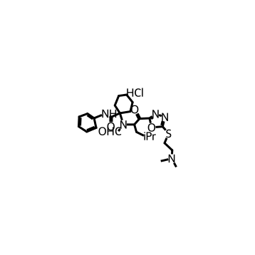 CC(C)CC(C(=O)c1nnc(SCCN(C)C)o1)N(C=O)C1(C(=O)Nc2ccccc2)CCCCC1.Cl